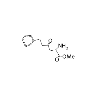 COC(=O)C(N)CC(=O)CCc1ccccc1